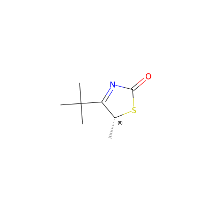 C[C@H]1SC(=O)N=C1C(C)(C)C